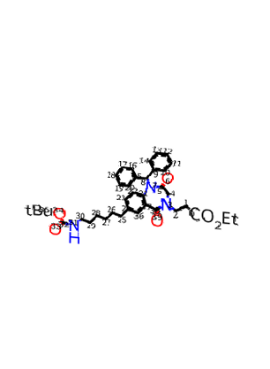 CCOC(=O)CCN1CC(=O)N(C(c2ccccc2)c2ccccc2)c2ccc(CCCCCCNC(=O)OC(C)(C)C)cc2C1=O